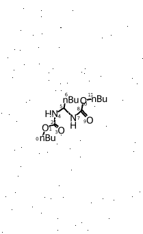 CCCCOC(=O)NC(CCCC)NC(=O)OCCCC